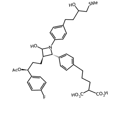 CSCC(O)CCc1ccc(N2C(O)[C@H](CC[C@H](OC(C)=O)c3ccc(F)cc3)[C@H]2c2ccc(CCCC(C(=O)O)C(=O)O)cc2)cc1